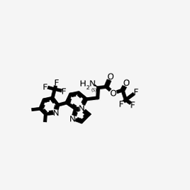 Cc1cc(C(F)(F)F)c(-c2ccc(C[C@H](N)C(=O)OC(=O)C(F)(F)F)n3ccnc23)nc1C